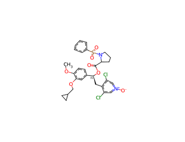 COc1ccc([C@H](Cc2c(Cl)c[n+]([O-])cc2Cl)OC(=O)C2CCCN2S(=O)(=O)c2ccccc2)cc1OCC1CC1